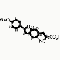 COc1ccc(-c2cc3ccc(/C=C(\C#N)C(=O)O)cc3o2)cc1